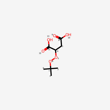 CC(C)(C)OOC(CC(=O)O)C(=O)O